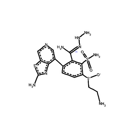 NCC[S+]([O-])c1ccc(-c2cncc3sc(N)nc23)c(/C(N)=N/NN)c1S(N)(=O)=O